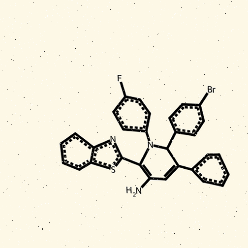 NC1=C(c2nc3ccccc3s2)N(c2ccc(F)cc2)C(c2ccc(Br)cc2)C(c2ccccc2)=C1